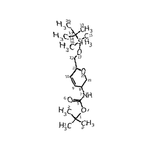 CC(C)(C)OC(=O)NC1C=CC(CO[Si](C)(C)C(C)(C)C)OC1